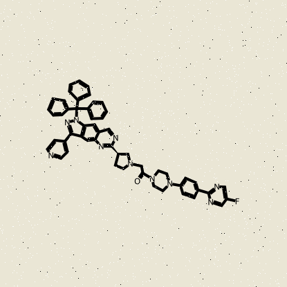 O=C(CN1CC[C@@H](c2ncc3cc4c(cc3n2)c(-c2ccncc2)nn4C(c2ccccc2)(c2ccccc2)c2ccccc2)C1)N1CCN(c2ccc(-c3ncc(F)cn3)cc2)CC1